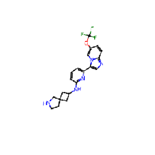 FC(F)(F)Oc1ccc2ncc(-c3cccc(NC4CC5(CCNC5)C4)n3)n2c1